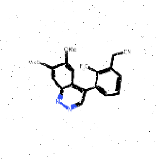 COc1cc2nncc(-c3cccc(CC#N)c3C(F)(F)F)c2cc1OC